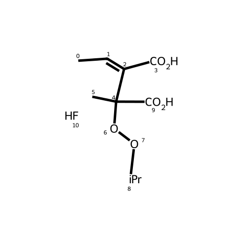 CC=C(C(=O)O)C(C)(OOC(C)C)C(=O)O.F